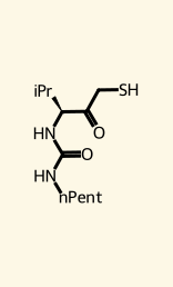 CCCCCNC(=O)N[C@H](C(=O)CS)C(C)C